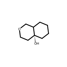 O[C@@]12CCCCC1COCC2